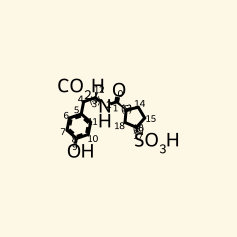 O=C(N[C@@H](Cc1ccc(O)cc1)C(=O)O)[C@H]1CC[C@@H](S(=O)(=O)O)C1